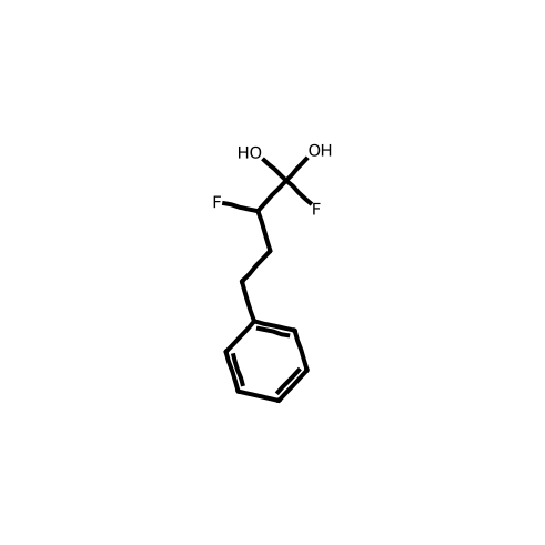 OC(O)(F)C(F)CCc1ccccc1